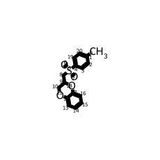 Cc1ccc(S(=O)(=O)CC2COc3ccccc3O2)cc1